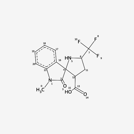 CN1C(=O)C2(NC(C(F)(F)F)CC2C(=O)O)c2ccccc21